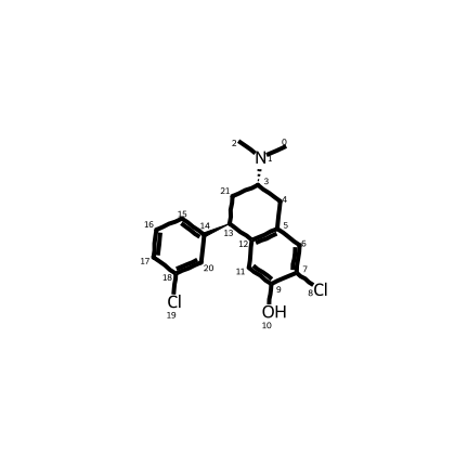 CN(C)[C@@H]1Cc2cc(Cl)c(O)cc2[C@@H](c2cccc(Cl)c2)C1